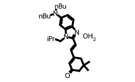 CCCCN(CCCC)c1ccc2nc(C=CC3=CC(=O)CC(C)(C)C3)n(CC(C)C)c2c1.O